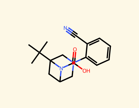 CC(C)(C)C12CC(CN(c3ccccc3C#N)C1)N2C(=O)O